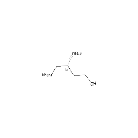 CCCCCC[C@@H](CCO)CCCC